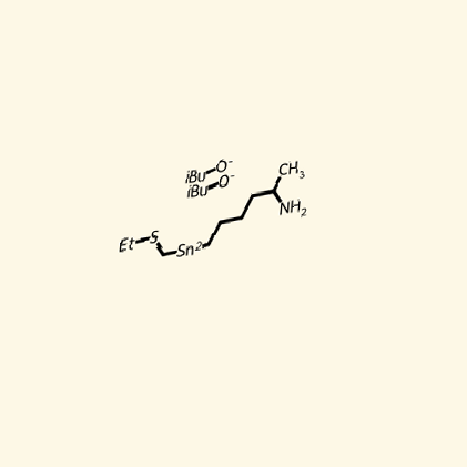 CCC(C)[O-].CCC(C)[O-].CCS[CH2][Sn+2][CH2]CCCC(C)N